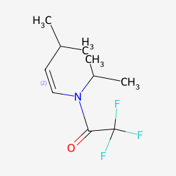 CC(C)/C=C\N(C(=O)C(F)(F)F)C(C)C